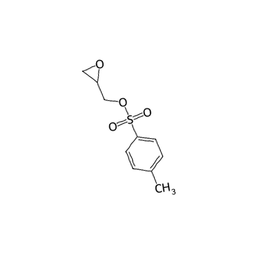 Cc1ccc(S(=O)(=O)OCC2CO2)cc1